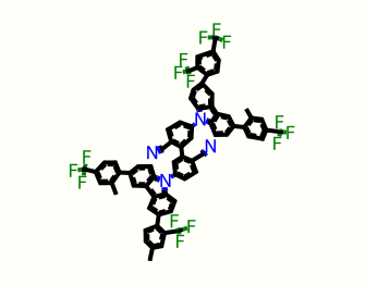 Cc1ccc(-c2ccc3c(c2)c2cc(-c4ccc(C(F)(F)F)cc4C)ccc2n3-c2ccc(C#N)c(-c3cc(-n4c5ccc(-c6ccc(C(F)(F)F)cc6C)cc5c5cc(-c6ccc(C(F)(F)F)cc6C(F)(F)F)ccc54)ccc3C#N)c2)c(C(F)(F)F)c1